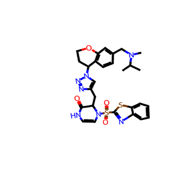 CC(C)N(C)Cc1ccc2c(c1)OCCC2n1cc(CC2C(=O)NC=CN2S(=O)(=O)c2nc3ccccc3s2)nn1